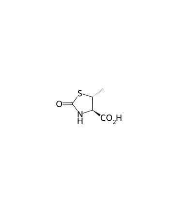 C[C@H]1SC(=O)N[C@@H]1C(=O)O